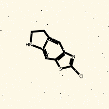 Clc1nc2cc3c(cc2s1)NCC3